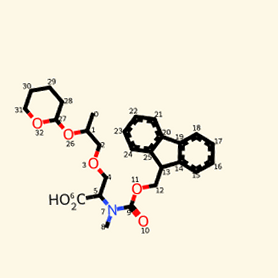 CC(COCC(C(=O)O)N(C)C(=O)OCC1c2ccccc2-c2ccccc21)OC1CCCCO1